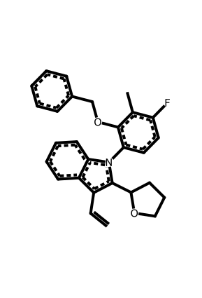 C=Cc1c(C2CCCO2)n(-c2ccc(F)c(C)c2OCc2ccccc2)c2ccccc12